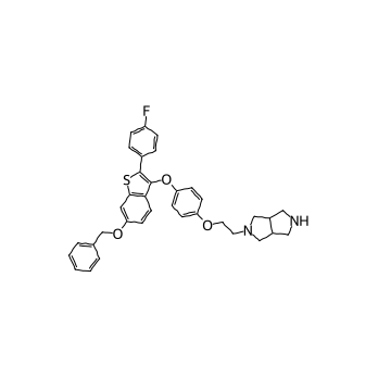 Fc1ccc(-c2sc3cc(OCc4ccccc4)ccc3c2Oc2ccc(OCCN3CC4CNCC4C3)cc2)cc1